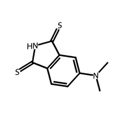 CN(C)c1ccc2c(c1)C(=S)NC2=S